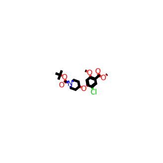 COC(=O)c1cc(Cl)c(OC2CCN(C(=O)OC(C)(C)C)CC2)cc1OC